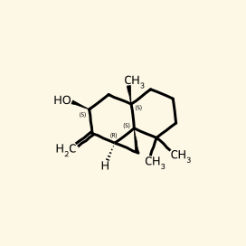 C=C1[C@@H](O)C[C@]2(C)CCCC(C)(C)[C@@]23C[C@@H]13